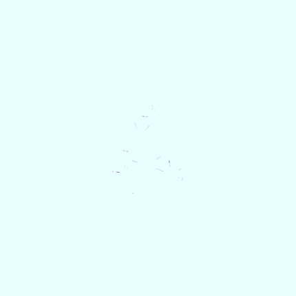 C[C@@H](O)[C@H]1C(=O)N2C(C(=O)OCc3ccc([N+](=O)[O-])cc3)=C(Oc3ccc(C(N)=O)cc3)S[C@H]12